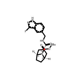 CC(C)(C)OC(=O)N1[C@@H]2CC[C@H]1C[C@H](C(=O)NCc1ccc3[nH]nc(F)c3c1)C2